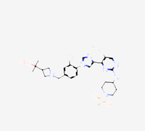 CC(C)(O)C1CN(Cc2ccc(-n3cnc(-c4nc(NC5CCN(S(C)(=O)=O)CC5)ncc4C(F)(F)F)c3)c(Cl)c2)C1